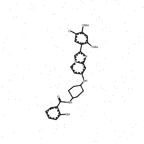 COc1cc(OC)c(-c2cn3ccc(NC4CCC(NC(=O)c5ccccc5O)CC4)cc3n2)cc1Cl